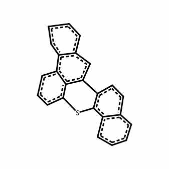 c1ccc2c3c(ccc2c1)-c1cc2ccccc2c2cccc(c12)S3